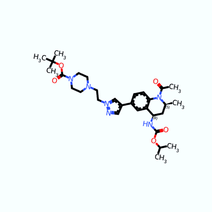 CC(=O)N1c2ccc(-c3cnn(CCN4CCN(C(=O)OC(C)(C)C)CC4)c3)cc2[C@H](NC(=O)OC(C)C)C[C@@H]1C